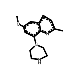 COc1cc(N2CCNCC2)c2nc(C)ccc2c1